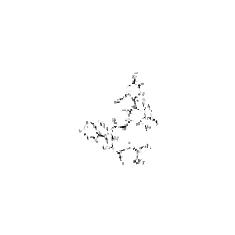 CC(C)OC(=O)[C@@H](C)NP(=O)(OC[C@H]1O[C@@H](N2C=CC(=O)CC2=O)[C@](C)(C#N)[C@@H]1O)Oc1ccccc1